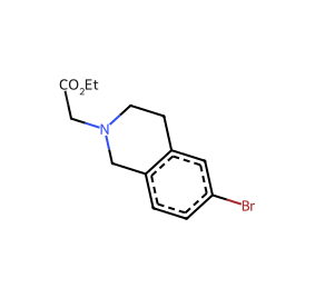 CCOC(=O)CN1CCc2cc(Br)ccc2C1